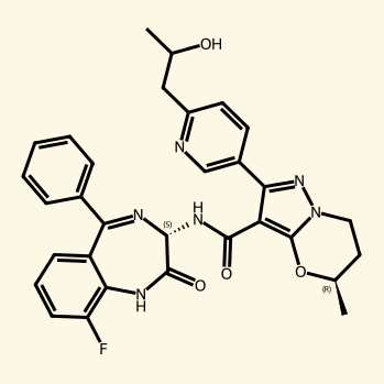 CC(O)Cc1ccc(-c2nn3c(c2C(=O)N[C@H]2N=C(c4ccccc4)c4cccc(F)c4NC2=O)O[C@H](C)CC3)cn1